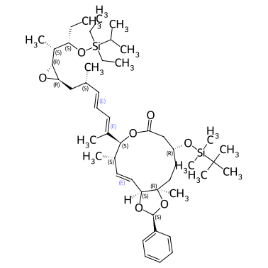 CC[C@H](O[Si](CC)(CC)C(C)C)[C@@H](C)[C@H]1O[C@@H]1C[C@H](C)/C=C/C=C(\C)[C@H]1OC(=O)C[C@H](O[Si](C)(C)C(C)(C)C)CC[C@@]2(C)O[C@@H](c3ccccc3)O[C@H]2/C=C/[C@@H]1C